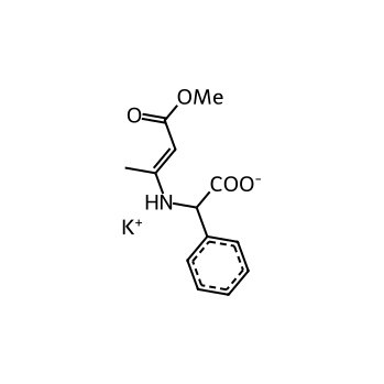 COC(=O)C=C(C)NC(C(=O)[O-])c1ccccc1.[K+]